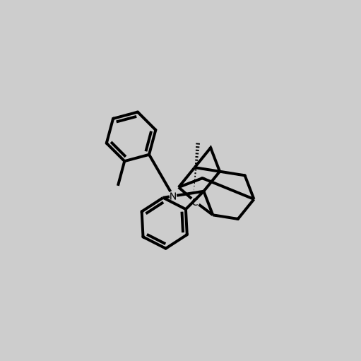 Cc1ccccc1N1c2ccccc2C2(C3CC4CC(C3)C3CC32C4)[C@@H]1C